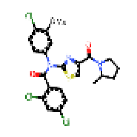 COc1cc(N(C(=O)c2ccc(Cl)cc2Cl)c2nc(C(=O)N3CCCC3C)cs2)ccc1Cl